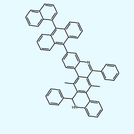 Cc1c2c(c(C)c3c1c(-c1ccccc1)nc1cc(-c4c5ccccc5c(-c5cccc6ccccc56)c5ccccc45)ccc13)C(c1ccccc1)Nc1ccccc1-2